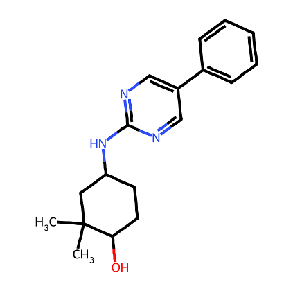 CC1(C)CC(Nc2ncc(-c3ccccc3)cn2)CCC1O